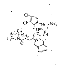 CCN(C(=O)CCC(=O)N1Cc2ccccc2C[C@H]1C(=O)N[C@@H](CCN)C(=O)Nc1ccc(Cl)c(Cl)c1F)C(C)(C)C